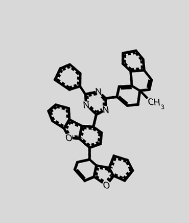 CC12C=Cc3ccccc3C1=CC(c1nc(-c3ccccc3)nc(-c3ccc(C4CC=Cc5oc6ccccc6c54)c4oc5ccccc5c34)n1)=CC2